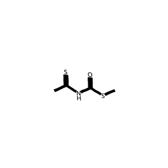 CSC(=O)NC(C)=S